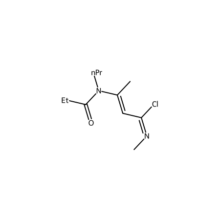 CCCN(C(=O)CC)/C(C)=C/C(Cl)=N\C